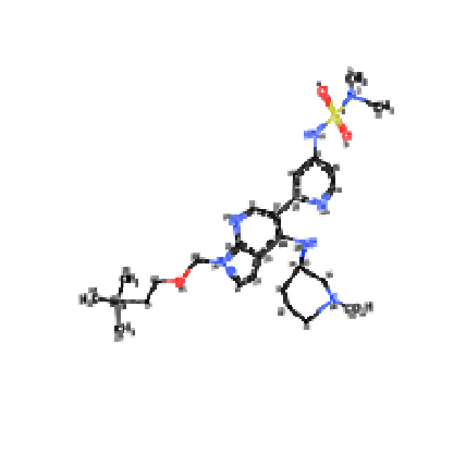 CN(C)S(=O)(=O)Nc1ccnc(-c2cnc3c(ccn3COCC[Si](C)(C)C)c2N[C@@H]2CCCN(C(=O)O)C2)c1